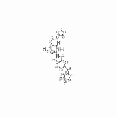 Nc1ccc(-c2cccs2)nc1NC(=O)N1Cc2ccc(CN3CCC(F)(F)C3)cc2C1